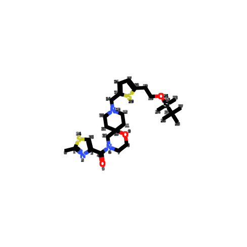 Cc1nc(C(=O)N2CCOC3(CCN(Cc4ccc(CCO[Si](C)(C)C(C)(C)C)s4)CC3)C2)cs1